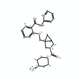 O=C(Nc1ccccn1)c1ncccc1OCC12CC1CN(C(=O)[C@H]1CC[C@H](C(F)(F)F)CC1)C2